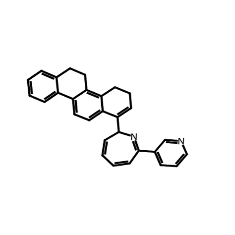 C1=CC(c2cccnc2)=NC(C2=CCCc3c2ccc2c3CCc3ccccc3-2)C=C1